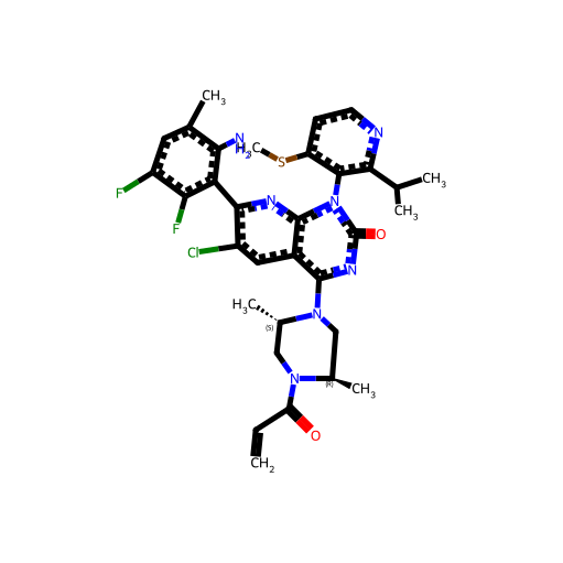 C=CC(=O)N1C[C@H](C)N(c2nc(=O)n(-c3c(SC)ccnc3C(C)C)c3nc(-c4c(N)c(C)cc(F)c4F)c(Cl)cc23)C[C@H]1C